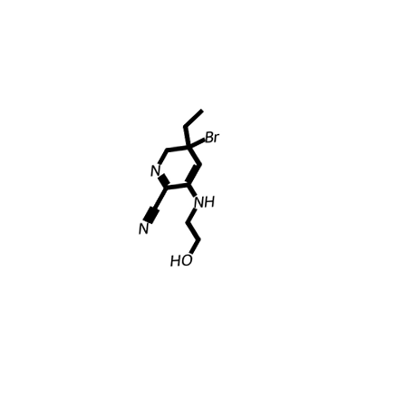 CCC1(Br)C=C(NCCO)C(C#N)=NC1